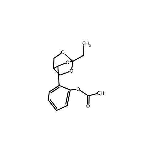 CCC12OCC(CO1)C(c1ccccc1OC(=O)O)O2